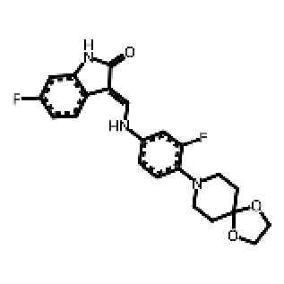 O=C1Nc2cc(F)ccc2/C1=C\Nc1ccc(N2CCC3(CC2)OCCO3)c(F)c1